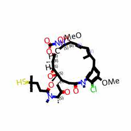 COc1cc2cc(c1Cl)N(C)C(=O)C[C@H](CC(=O)[C@H](C)N(C)C(=O)CCC(C)(C)S)[C@]1(C)O[C@H]1[C@H](C)[C@@H]1C[C@@](O)(NC(=O)O1)[C@H](OC)/C=C/C=C(\C)C2